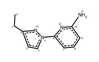 CCc1ccn(-c2cccc(N)n2)n1